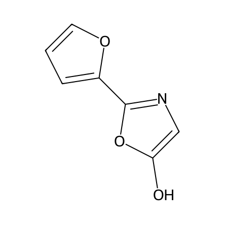 Oc1cnc(-c2ccco2)o1